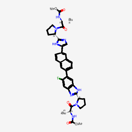 CC[C@H](C)[C@H](NC(=O)OC)C(=O)N1CCC[C@H]1c1ncc(-c2ccc3cc(-c4cc5[nH]c([C@@H]6CCCN6C(=O)[C@@H](NC(=O)OC)[C@@H](C)CC)nc5cc4F)ccc3c2)[nH]1